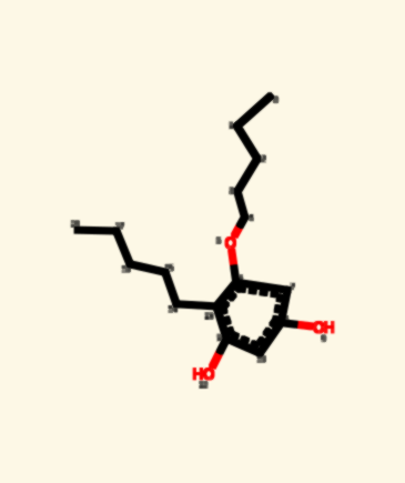 CCCCCOc1cc(O)cc(O)c1CCCCC